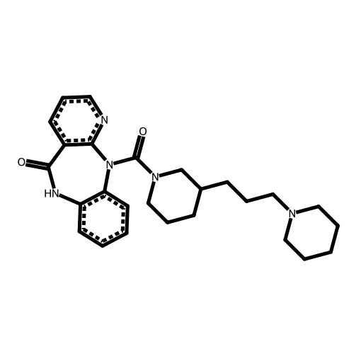 O=C1Nc2ccccc2N(C(=O)N2CCCC(CCCN3CCCCC3)C2)c2ncccc21